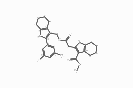 CC(C)(C)OC(=O)c1c(CC(=O)NCc2c(-c3cc(F)cc(C(F)(F)F)c3)sc3c2CCCC3)sc2c1CCCC2